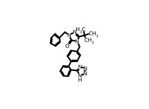 CC(C)(C)c1nn(Cc2ccccc2)c(=O)n1Cc1ccc(-c2ccccc2-c2nnn[nH]2)cc1